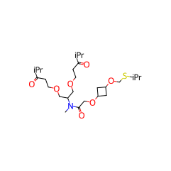 CC(C)SCOC1CC(OCC(=O)N(C)C(COCCC(=O)C(C)C)COCCC(=O)C(C)C)C1